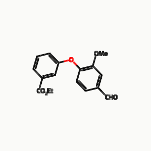 CCOC(=O)c1cccc(Oc2ccc(C=O)cc2OC)c1